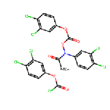 CNC(=O)N(OC(=O)Oc1ccc(Cl)c(Cl)c1)c1ccc(Cl)c(Cl)c1.O=C(Cl)Oc1ccc(Cl)c(Cl)c1